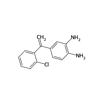 C=C(c1ccc(N)c(N)c1)c1ccccc1Cl